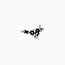 C[C@@H]1Cc2c(ccc3[nH]c(=O)oc23)[C@@H](c2c(F)cc(N3CC4(CNC4)C3)cc2F)N1CC(F)(F)F